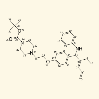 C=C/C=C(\CC)C(Nc1ccccc1)c1ccc(OCCN2CCN(C(=O)OC(C)(C)C)CC2)cc1